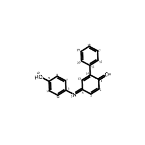 O=C1C=CC(=Nc2ccc(O)cc2)C=C1c1ccccc1